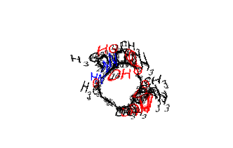 COC1/C=C/OC2(C)Oc3c(C)c(O)c4c(O)c(c5c(nc6cc(C)ccn65)c4c3C2=O)NC(=O)/C(C)=C\C=C\C(C)C(O)C(C)C(O)CC(C)(OC(C)=O)C1C